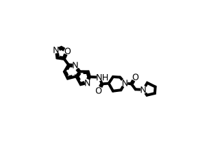 O=C(Nc1cc2nc(-c3cnco3)ccc2cn1)C1CCN(C(=O)CN2CCCC2)CC1